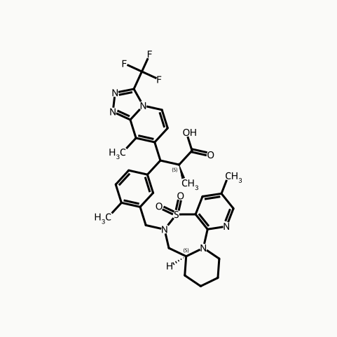 Cc1cnc2c(c1)S(=O)(=O)N(Cc1cc(C(c3ccn4c(C(F)(F)F)nnc4c3C)[C@H](C)C(=O)O)ccc1C)C[C@@H]1CCCCN21